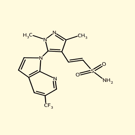 Cc1nn(C)c(-n2ccc3cc(C(F)(F)F)cnc32)c1C=CS(N)(=O)=O